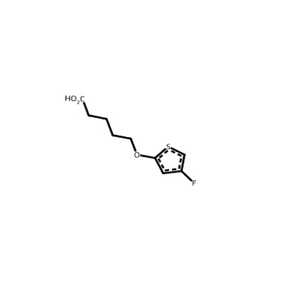 O=C(O)CCCCOc1cc(F)cs1